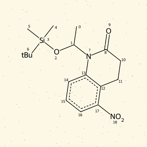 CC(O[Si](C)(C)C(C)(C)C)N1C(=O)CCc2c1cccc2[N+](=O)[O-]